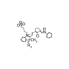 CC1(C)C(/C=C/C2=C(Cl)C(=C/Nc3ccccc3)/CCC2)=[N+](CCCCS(=O)(=O)[O-])c2ccccc21